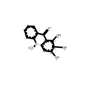 COc1ccccc1C(=O)c1ccc(O)c(O)c1O